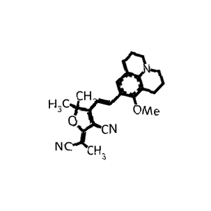 COc1c(/C=C/C2=C(C#N)C(=C(\C)C#N)/OC2(C)C)cc2c3c1CCCN3CCC2